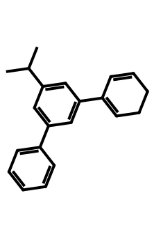 CC(C)c1cc(C2=CCCC=C2)cc(-c2ccccc2)c1